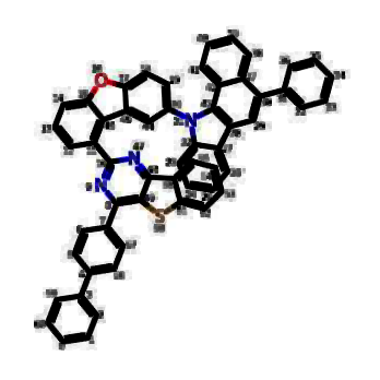 c1ccc(-c2ccc(-c3nc(-c4cccc5oc6ccc(-n7c8ccccc8c8cc(-c9ccccc9)c9ccccc9c87)cc6c45)nc4c3sc3ccccc34)cc2)cc1